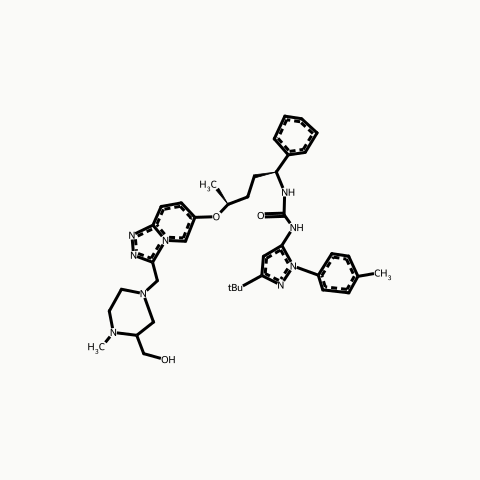 Cc1ccc(-n2nc(C(C)(C)C)cc2NC(=O)N[C@@H](CC[C@H](C)Oc2ccc3nnc(CN4CCN(C)C(CO)C4)n3c2)c2ccccc2)cc1